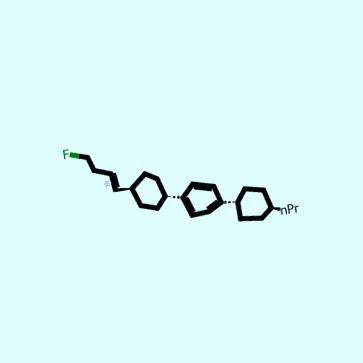 CCC[C@H]1CC[C@H](c2ccc([C@H]3CC[C@H](/C=C/CCF)CC3)cc2)CC1